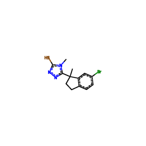 Cn1c(S)nnc1C1(C)CCc2ccc(Br)cc21